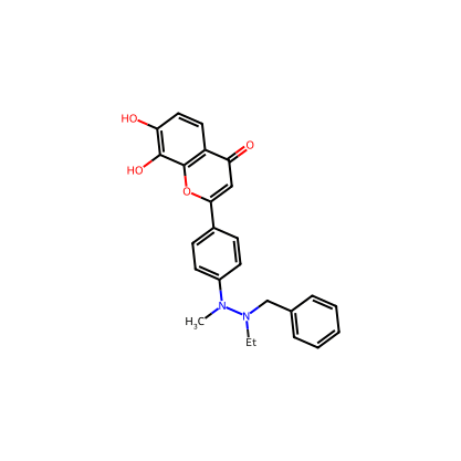 CCN(Cc1ccccc1)N(C)c1ccc(-c2cc(=O)c3ccc(O)c(O)c3o2)cc1